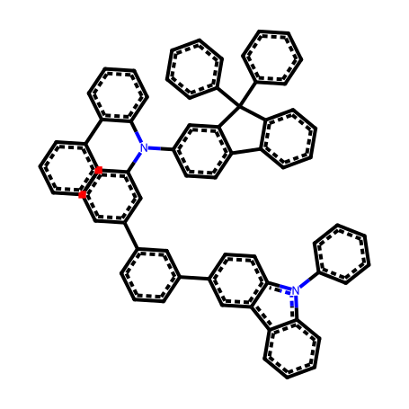 c1ccc(-c2ccccc2N(c2cccc(-c3cccc(-c4ccc5c(c4)c4ccccc4n5-c4ccccc4)c3)c2)c2ccc3c(c2)C(c2ccccc2)(c2ccccc2)c2ccccc2-3)cc1